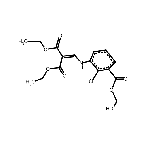 CCOC(=O)C(=CNc1cccc(C(=O)OCC)c1Cl)C(=O)OCC